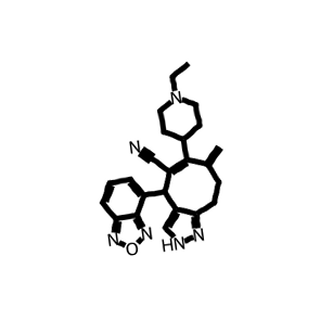 C=C1CCc2n[nH]cc2C(c2cccc3nonc23)/C(C#N)=C\1C1CCN(CC)CC1